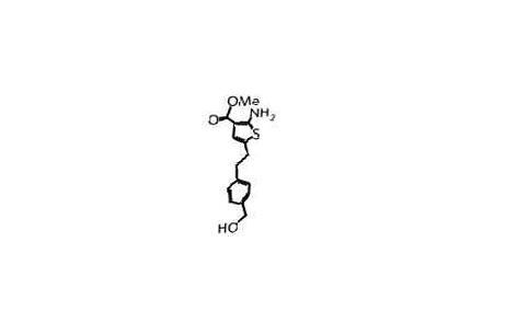 COC(=O)c1cc(CCc2ccc(CO)cc2)sc1N